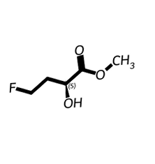 COC(=O)[C@@H](O)CCF